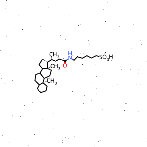 C[C@H](CCC(=O)NCCCCCCS(=O)(=O)O)[C@H]1CCC2C3CCC4CCCC[C@]4(C)C3CC[C@@]21C